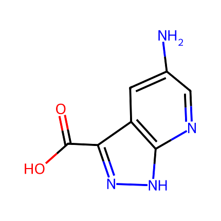 Nc1cnc2[nH]nc(C(=O)O)c2c1